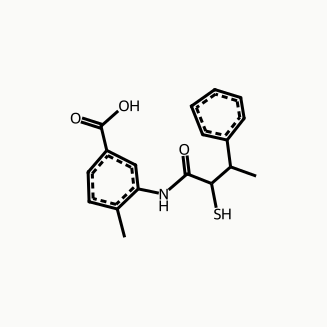 Cc1ccc(C(=O)O)cc1NC(=O)C(S)C(C)c1ccccc1